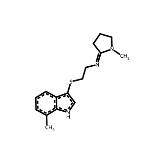 Cc1cccc2c(SCC/N=C3\CCCN3C)c[nH]c12